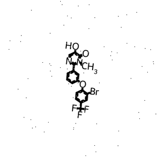 Cn1c(-c2cccc(Oc3ccc(C(F)(F)F)cc3Br)c2)ncc(O)c1=O